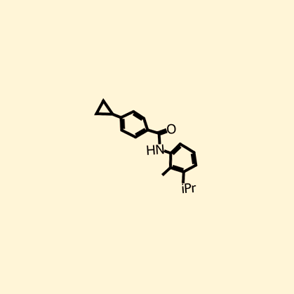 Cc1c(NC(=O)c2ccc(C3CC3)cc2)cccc1C(C)C